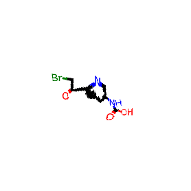 O=C(O)Nc1ccc(C(=O)CBr)nc1